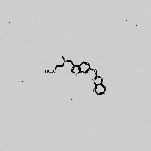 CN(CCC(=O)O)Cc1coc2cc(Oc3nc4ncccc4s3)ccc12